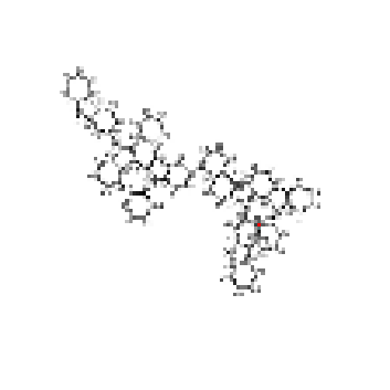 c1ccc(-n2c3ccc(-c4cccc5c4ccc4c5c5ccc6c7ccccc7n(-c7ccccc7)c6c5n4-c4ccc5c(c4)sc4ccccc45)cc3c3c4ccccc4c4c(c5ccccc5n4-c4ccc5c(c4)sc4ccccc45)c32)cc1